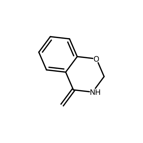 C=C1NCOc2ccccc21